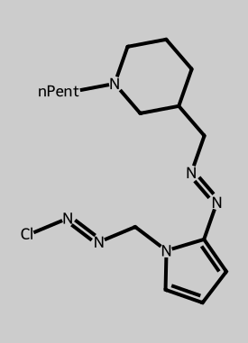 CCCCCN1CCCC(CN=Nc2cccn2CN=NCl)C1